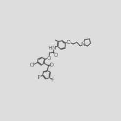 Cc1cc(OCCCN2CCCC2)ccc1NC(=O)COc1ccc(Cl)cc1C(=O)c1cc(F)cc(F)c1